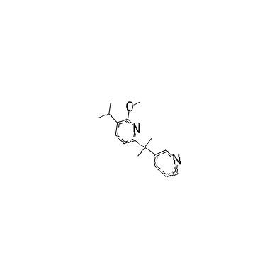 COc1nc(C(C)(C)c2cccnc2)ccc1C(C)C